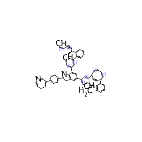 C#C/C=C(\C=C1/CC=C(/C=C\C=C/C)c2ccccc21)c1cc(C(=C/C)/C=C2\CC(=C)c3ccccc3C3C#CC2/C=C\C=C/3)cc2c1N=C(c1ccc(C3=CCC=CN=C3)cc1)C2